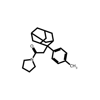 Cc1ccc(C2(CC(=O)N3CCCC3)C3CC4CC(C3)CC2C4)cc1